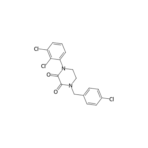 O=C1C(=O)N(c2cccc(Cl)c2Cl)CCN1Cc1ccc(Cl)cc1